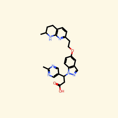 Cc1ncc(C(CC(=O)O)n2ncc3cc(OCCc4ccc5c(n4)NC(C)CC5)ccc32)cn1